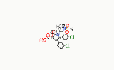 CCC(CN(C)S(=O)(=O)C1CC1)N1C(=O)[C@](CC(=O)O)(OC)C[C@H](c2cccc(Cl)c2)[C@H]1c1ccc(Cl)cc1